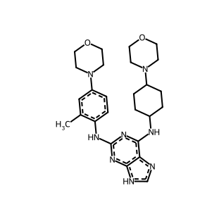 Cc1cc(N2CCOCC2)ccc1Nc1nc(NC2CCC(N3CCOCC3)CC2)c2nc[nH]c2n1